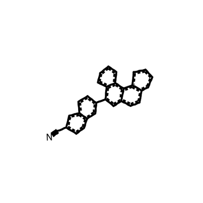 N#Cc1ccc2cc(-c3cc4ccc5ccccc5c4c4ccccc34)ccc2c1